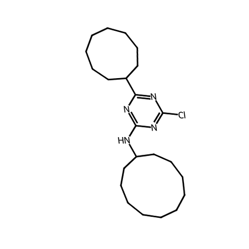 Clc1nc(NC2CCCCCCCCCC2)nc(C2CCCCCCCC2)n1